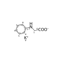 O=C([O-])CNc1ccccc1.[K+]